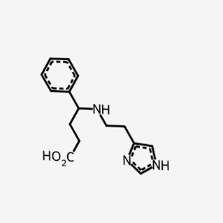 O=C(O)CCC(NCCc1c[nH]cn1)c1ccccc1